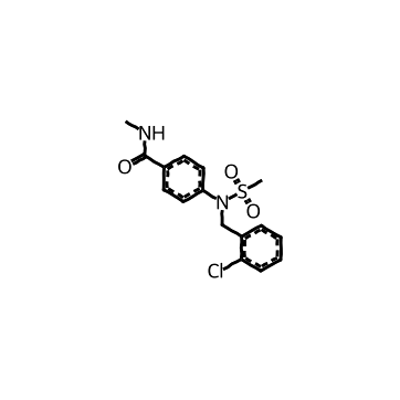 CNC(=O)c1ccc(N(Cc2ccccc2Cl)S(C)(=O)=O)cc1